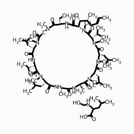 C/C=C/C[C@@H](C)[C@@H](O)[C@H]1C(=O)N[C@@H](CC)C(=O)N(C)CC(=O)N(C)[C@@H](CC(C)C)C(=O)N[C@@H](C(C)C)C(=O)N(C)[C@@H](CC(C)C)C(=O)N[C@@H](C)C(=O)N[C@H](C)C(=O)N(C)[C@@H](CC(C)C)C(=O)N(C)[C@@H](CC(C)C)C(=O)N(C)[C@@H](C(C)C)C(=O)N1C.CC(C)CC(NCO)C(=O)O